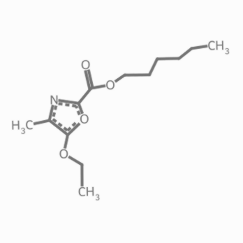 CCCCCCOC(=O)c1nc(C)c(OCC)o1